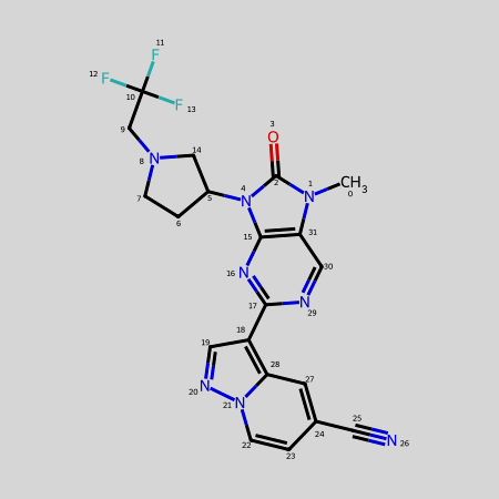 Cn1c(=O)n(C2CCN(CC(F)(F)F)C2)c2nc(-c3cnn4ccc(C#N)cc34)ncc21